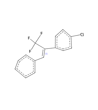 FC(F)(F)/C(=C\c1ccccc1)c1ccc(Cl)cc1